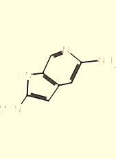 CNc1cc2cc(N)ncc2[nH]1